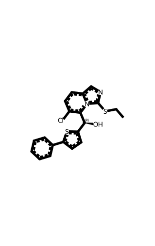 CCSc1ncc2ccc(Cl)c([C@@H](O)c3ccc(-c4ccccc4)s3)n12